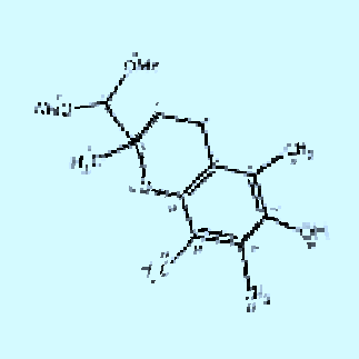 COC(OC)C1(C)CCc2c(C)c(O)c(C)c(C)c2O1